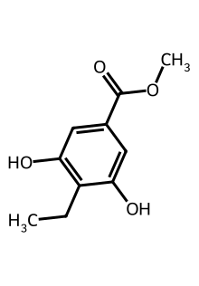 CCc1c(O)cc(C(=O)OC)cc1O